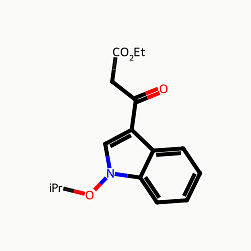 CCOC(=O)CC(=O)c1cn(OC(C)C)c2ccccc12